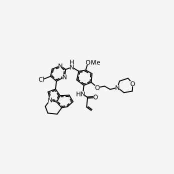 C=CC(=O)Nc1cc(Nc2ncc(Cl)c(-c3cn4c5c(cccc35)CCC4)n2)c(OC)cc1OCCN1CCOCC1